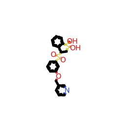 O=S(=O)(c1cccc(OCc2cccnc2)c1)C1CS(O)(O)c2ccccc21